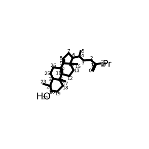 C=C(CCC(C)C1CC=C2C3=C(CCC21C)C1(C)CCC(O)C(C)C1CC3)C(C)C